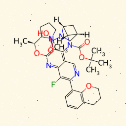 C[C@H](Oc1nc2c(F)c(-c3cccc4c3OCCC4)ncc2c(N(C(=O)OC(C)(C)C)[C@H]2[C@@H]3C[C@H]2N(C(=O)O)C3)c1I)C1CCCN1C